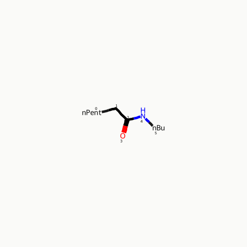 CCCCCCC(=O)NCCCC